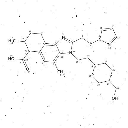 Cc1cc2c(c3nc(CCn4cccn4)n(CCN4CCC(CO)CC4)c13)CCC(C)N2C(=O)O